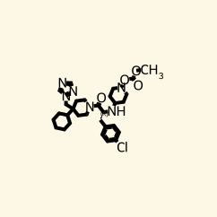 COC(=O)ON1CCC(N[C@H](Cc2ccc(Cl)cc2)C(=O)N2CCC(Cn3cncn3)(C3CCCCC3)CC2)CC1